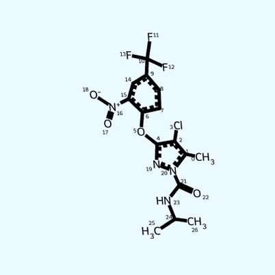 Cc1c(Cl)c(Oc2ccc(C(F)(F)F)cc2[N+](=O)[O-])nn1C(=O)NC(C)C